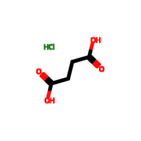 Cl.O=C(O)CCC(=O)O